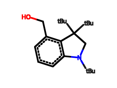 CC(C)(C)N1CC(C(C)(C)C)(C(C)(C)C)c2c(CO)cccc21